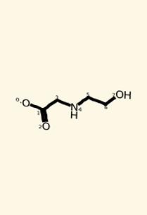 [O]C(=O)CNCCO